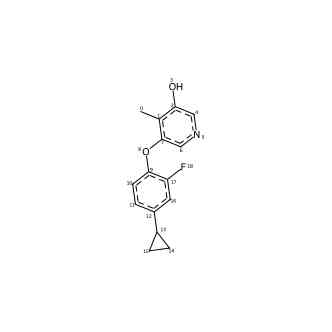 Cc1c(O)cncc1Oc1ccc(C2CC2)cc1F